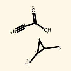 CC1CC1Cl.N#CC(=O)O